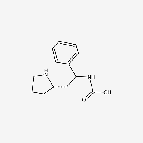 O=C(O)N[C](C[C@@H]1CCCN1)c1ccccc1